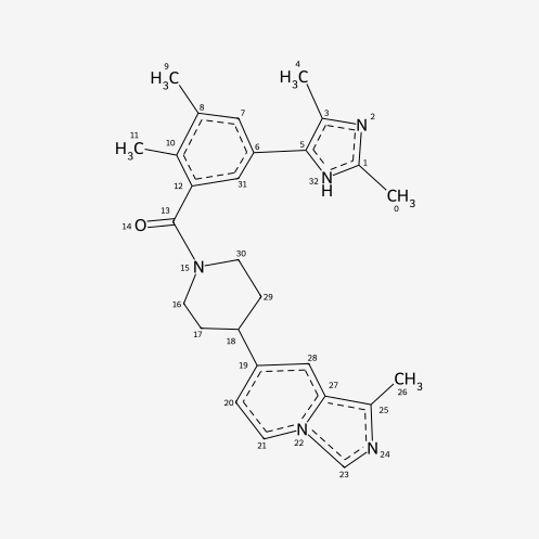 Cc1nc(C)c(-c2cc(C)c(C)c(C(=O)N3CCC(c4ccn5cnc(C)c5c4)CC3)c2)[nH]1